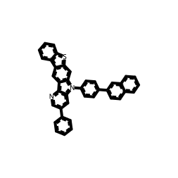 c1ccc(-c2cnc3c4cc5c(cc4n(-c4ccc(-c6ccc7ccccc7c6)cc4)c3c2)sc2ccccc25)cc1